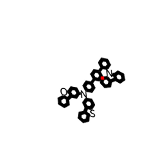 c1ccc(-n2c3ccccc3c3ccccc32)c(-c2ccc(-c3ccc(N(c4ccc5oc6ccccc6c5c4)c4ccc5sc6ccccc6c5c4)cc3)cc2)c1